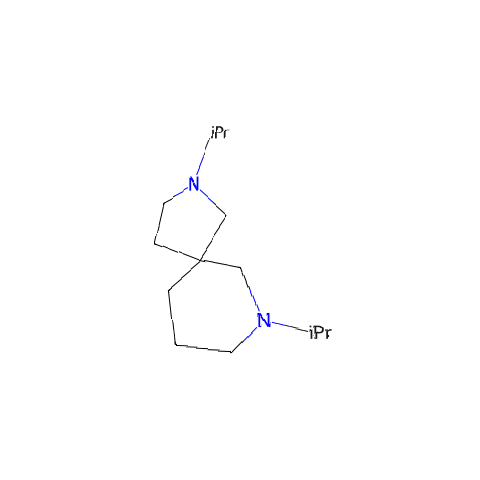 CC(C)N1CCCC2(CCN(C(C)C)C2)C1